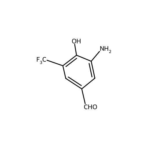 Nc1cc(C=O)cc(C(F)(F)F)c1O